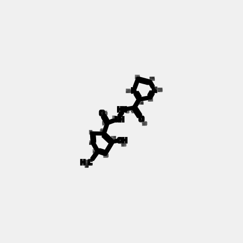 Cc1ccc(C(=O)NNC(=O)c2cnccn2)c(O)c1